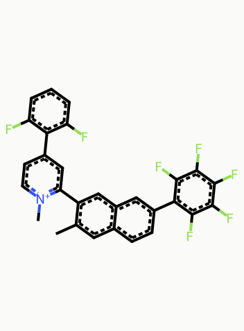 Cc1cc2ccc(-c3c(F)c(F)c(F)c(F)c3F)cc2cc1-c1cc(-c2c(F)cccc2F)cc[n+]1C